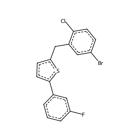 Fc1cccc(-c2ccc(Cc3cc(Br)ccc3Cl)s2)c1